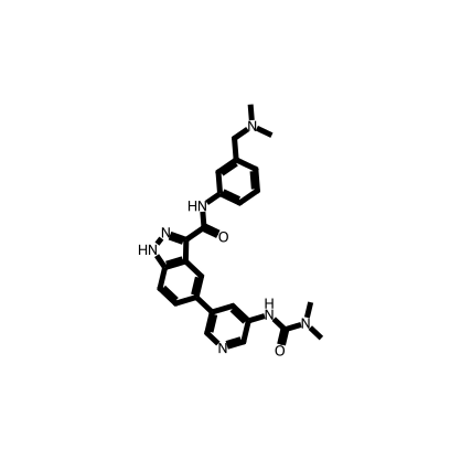 CN(C)Cc1cccc(NC(=O)c2n[nH]c3ccc(-c4cncc(NC(=O)N(C)C)c4)cc23)c1